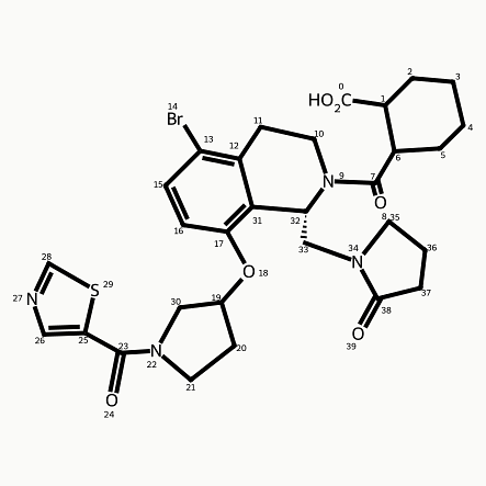 O=C(O)C1CCCCC1C(=O)N1CCc2c(Br)ccc(OC3CCN(C(=O)c4cncs4)C3)c2[C@H]1CN1CCCC1=O